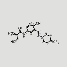 C=C(CO)C(=O)Nc1cnc(C#N)c(/C=C/C2CCC(C(F)(F)F)CC2)c1